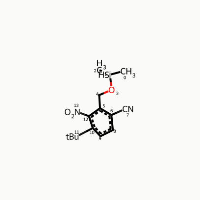 C[SiH](C)OCc1c(C#N)ccc(C(C)(C)C)c1[N+](=O)[O-]